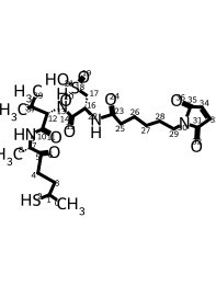 CC(S)CCC(=O)[C@H](C)NC(=O)[C@@H](NC(=O)[C@H](CS(=O)(=O)O)NC(=O)CCCCCN1C(=O)C=CC1=O)C(C)C